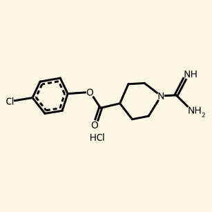 Cl.N=C(N)N1CCC(C(=O)Oc2ccc(Cl)cc2)CC1